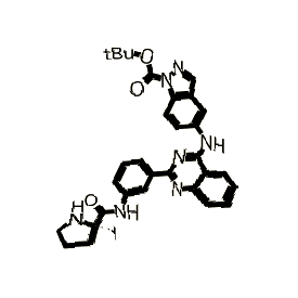 CC(C)(C)OC(=O)n1ncc2cc(Nc3nc(-c4cccc(NC(=O)[C@@]5(I)CCCN5)c4)nc4ccccc34)ccc21